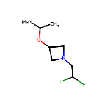 CNC(C)OC1CN(CC(F)F)C1